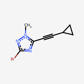 Cn1nc(Br)nc1C#CC1CC1